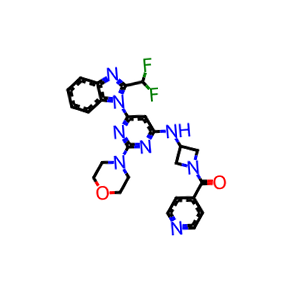 O=C(c1ccncc1)N1CC(Nc2cc(-n3c(C(F)F)nc4ccccc43)nc(N3CCOCC3)n2)C1